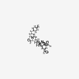 CC(=O)CN1CC[C@@H](Cc2ccc(F)cc2)C[C@@H]1CCCNC(=NC#N)Nc1cc(C(C)=O)cc(C(C)=O)c1